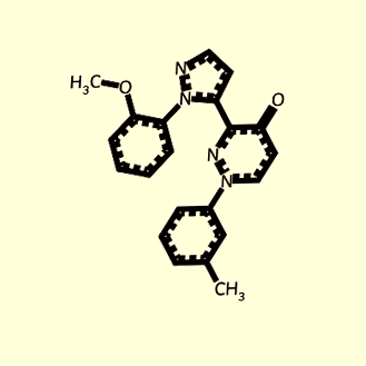 COc1ccccc1-n1nccc1-c1nn(-c2cccc(C)c2)ccc1=O